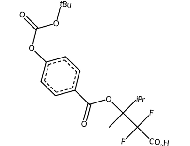 CC(C)C(C)(OC(=O)c1ccc(OC(=O)OC(C)(C)C)cc1)C(F)(F)C(=O)O